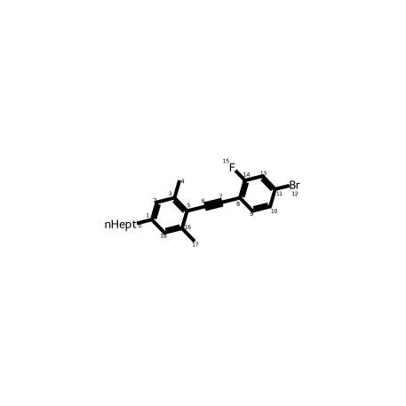 CCCCCCCc1cc(C)c(C#Cc2ccc(Br)cc2F)c(C)c1